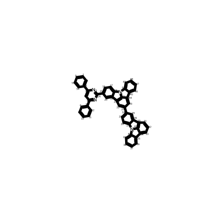 c1ccc(-c2cc(-c3ccccc3)nc(-c3ccc4c(c3)c3cc(-c5ccc6c(c5)c5cccc7c8ccccc8n6c75)cc5c6ccccc6n4c53)n2)cc1